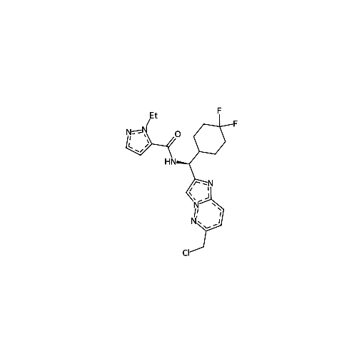 CCn1nccc1C(=O)N[C@H](c1cn2nc(CCl)ccc2n1)C1CCC(F)(F)CC1